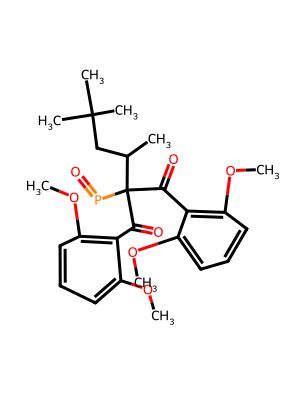 COc1cccc(OC)c1C(=O)C(P=O)(C(=O)c1c(OC)cccc1OC)C(C)CC(C)(C)C